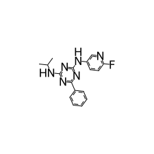 CC(C)Nc1nc(Nc2ccc(F)nc2)nc(-c2ccccc2)n1